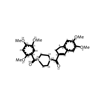 COc1cc2c(cc1OC)CCC(C(=O)N1CCN(C(=O)c3cc(OC)c(OC)cc3OC)CC1)=C2